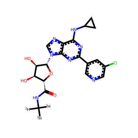 [2H]C([2H])([2H])NC(=O)[C@H]1O[C@@H](n2cnc3c(NC4CC4)nc(-c4cncc(Cl)c4)nc32)[C@H](O)[C@@H]1O